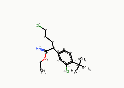 CCOC(=N)C(CCCCl)c1ccc(C(C)(C)C)c(Cl)c1